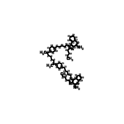 C=C(CCCCC(=C)N1CCN(CCCCCn2c(CCCC)nc3c(N)nc4ccccc4c32)CC1)N1CCN(CCCCCn2c(CCCC)nc3c(N)nc4ccccc4c32)CC1